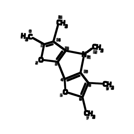 Cc1oc2c3oc(C)c(C)c3n(C)c2c1C